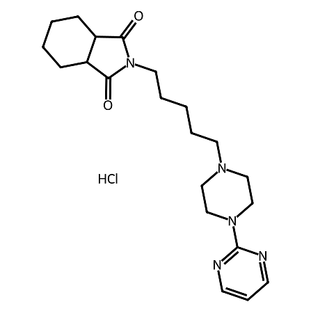 Cl.O=C1C2CCCCC2C(=O)N1CCCCCN1CCN(c2ncccn2)CC1